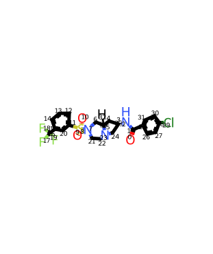 O=C(N[C@H]1C[C@H]2CN(S(=O)(=O)c3cccc(C(F)(F)F)c3)CCN2C1)c1ccc(Cl)cc1